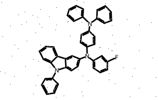 Fc1cccc(N(c2ccc(N(c3ccccc3)c3ccccc3)cc2)c2ccc3c(c2)c2ccccc2n3-c2ccccc2)c1